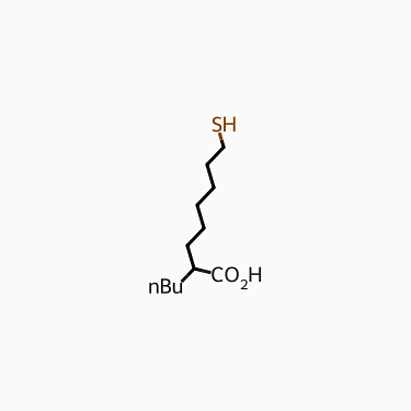 CCCCC(CCCCCCS)C(=O)O